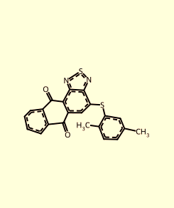 Cc1ccc(C)c(Sc2cc3c(c4nsnc24)C(=O)c2ccccc2C3=O)c1